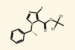 CCC(C)(CC)OC(=O)c1c(F)ncn1[C@H](C)c1ccccc1